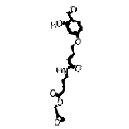 O=Cc1ccc(OCCCC(=O)NCCCC(=O)OCC2CO2)cc1O